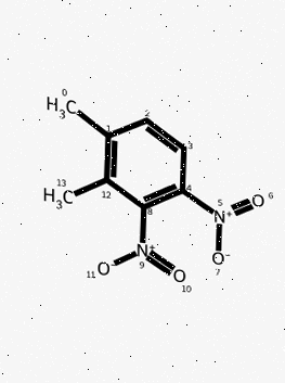 Cc1c[c]c([N+](=O)[O-])c([N+](=O)[O-])c1C